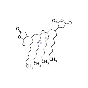 CCCCC/C=C/C(CC(CCCCCCC)C1CC(=O)OC1=O)OC(/C=C/CCCCC)CC(CCCCCCC)C1CC(=O)OC1=O